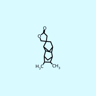 CC1C(C)C2CC1C1C3CC(C21)C1(COC(=O)C1)C3